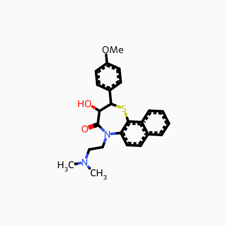 COc1ccc(C2Sc3c(ccc4ccccc34)N(CCN(C)C)C(=O)C2O)cc1